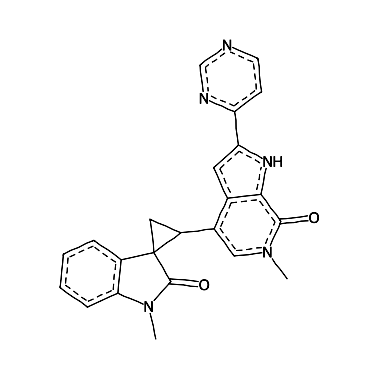 CN1C(=O)C2(CC2c2cn(C)c(=O)c3[nH]c(-c4ccncn4)cc23)c2ccccc21